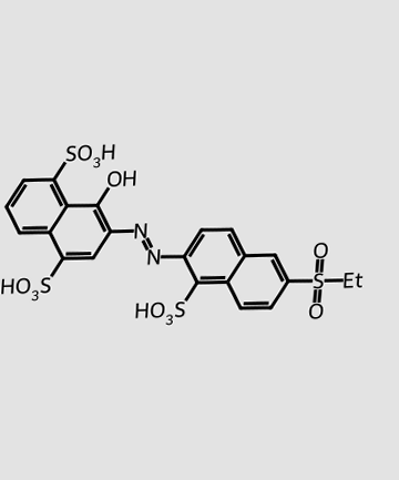 CCS(=O)(=O)c1ccc2c(S(=O)(=O)O)c(/N=N/c3cc(S(=O)(=O)O)c4cccc(S(=O)(=O)O)c4c3O)ccc2c1